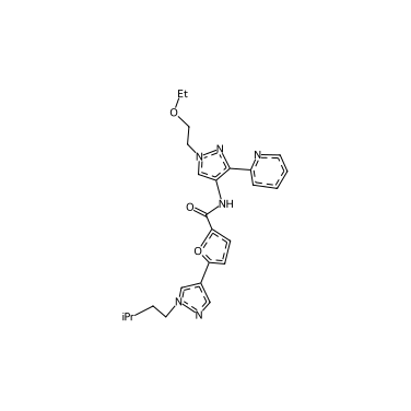 CCOCCn1cc(NC(=O)c2ccc(-c3cnn(CCC(C)C)c3)o2)c(-c2ccccn2)n1